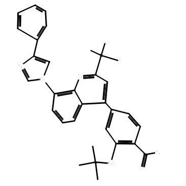 CC(C)(C)Nc1cc(-c2cc(C(F)(F)F)nc3c(-n4cnc(-c5ccccc5)c4)cccc23)ccc1C(N)=O